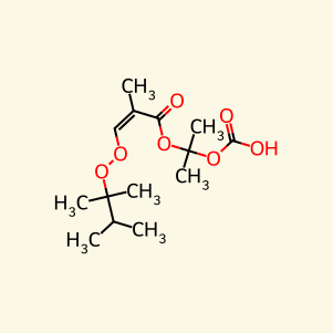 CC(=COOC(C)(C)C(C)C)C(=O)OC(C)(C)OC(=O)O